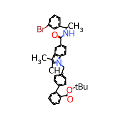 Cc1c(C)n(Cc2ccc(-c3ccccc3C(=O)OC(C)(C)C)cc2)c2ccc(C(=O)NC(C)c3cccc(Br)c3)cc12